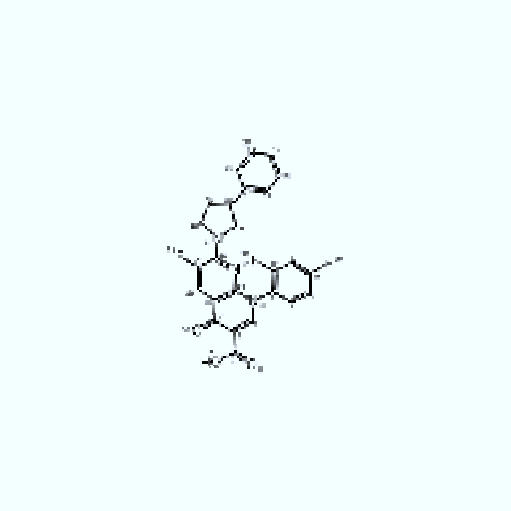 O=C(O)c1cn(-c2ccc(F)cc2F)c2nc(N3CCC(c4cccnc4)C3)c(F)cc2c1=O